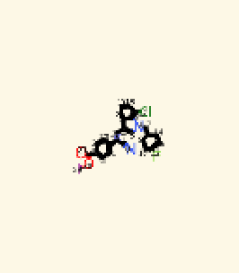 N#C/C(=C\c1cn(Cc2ccc(F)cc2)c2c(Cl)cccc12)c1ccc(C(=O)OI)cc1